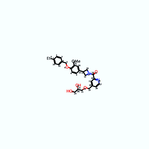 CCc1ccc(COc2ccc(C3CN(C(=O)c4cc(COC[C@H](O)CO)ccn4)C3)cc2OC)cc1